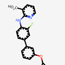 O=C(O)c1cccnc1Nc1ccc(-c2cccc(OC3CC3)c2)cc1F